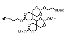 CCCCCCCCCCCCOP1OCC2(CO1)COP(OCCCCCCCCCCCC)OC2C1OP(OC)OCC12COP(OC)OC2